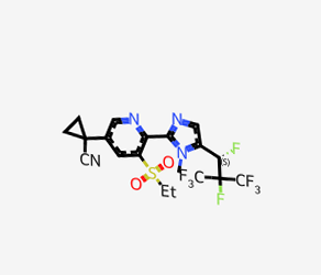 CCS(=O)(=O)c1cc(C2(C#N)CC2)cnc1-c1ncc([C@H](F)C(F)(C(F)(F)F)C(F)(F)F)n1C